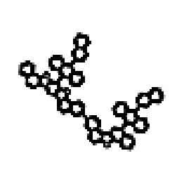 c1ccc2cc(-c3c4ccccc4c(-c4cc5c(oc6ccc7cc(-c8ccc9c(ccc%10c%11cc%12c(oc%13c%14ccccc%14ccc%12%13)c(-c%12c%13ccccc%13c(-c%13ccc%14ccccc%14c%13)c%13ccccc%12%13)c%11oc9%10)c8)ccc7c65)c5ccccc45)c4ccccc34)ccc2c1